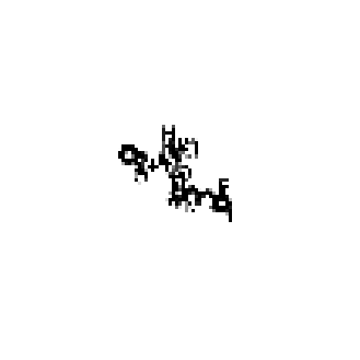 C[C@@H]1CN(CC(=O)N2CC(C)(C)c3ncc(Cc4ccc(F)cc4F)cc32)[C@@H](CN2Cc3ccccc3C2=O)CN1.Cl.Cl